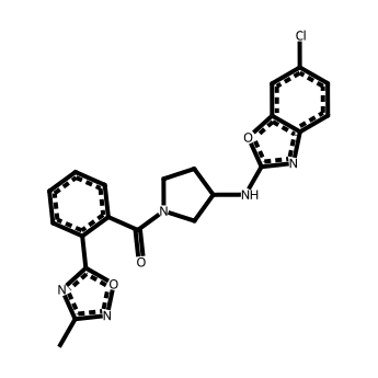 Cc1noc(-c2ccccc2C(=O)N2CCC(Nc3nc4ccc(Cl)cc4o3)C2)n1